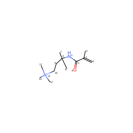 C=C(C)C(=O)NC(C)(C)CC[N+](C)(C)C